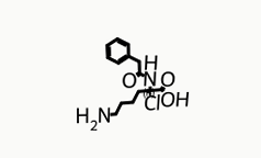 NCCCC[C@](Cl)(NC(=O)Cc1ccccc1)C(=O)O